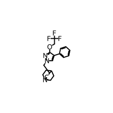 FC(F)(F)COc1nn(CC2CN3CCC2CC3)cc1-c1ccccc1